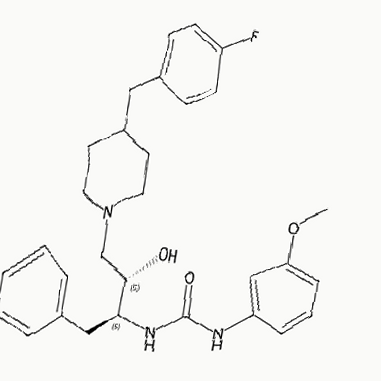 COc1cccc(NC(=O)N[C@@H](Cc2ccccc2)[C@@H](O)CN2CCC(Cc3ccc(F)cc3)CC2)c1